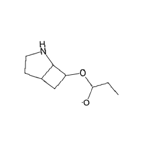 CCC([O])OC1CC2CCNC21